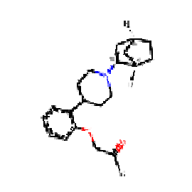 CCC(=O)COc1ccccc1C1CCN([C@H]2C[C@H]3CC[C@H]2C3)CC1